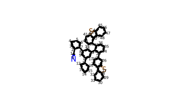 N#Cc1ccccc1-c1cc(-c2ccccc2)cc(-c2c(-c3ccc4c(c3)sc3ccccc34)cccc2-c2cccc3sc4ccccc4c23)c1